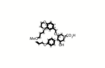 C=CCOc1ccc([C@H]2[C@H](O)CN(C(=O)O)C[C@@H]2OCc2ccc3c(c2)N(CCCOC)CCO3)cc1